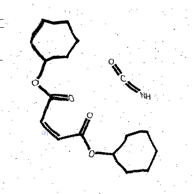 N=C=O.O=C(/C=C\C(=O)OC1CCCCC1)OC1CCCCC1